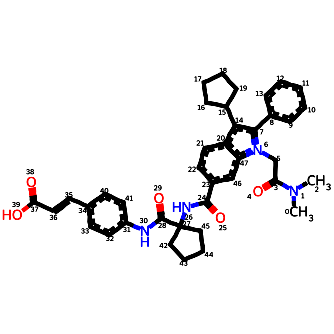 CN(C)C(=O)Cn1c(-c2ccccc2)c(C2CCCC2)c2ccc(C(=O)NC3(C(=O)Nc4ccc(C=CC(=O)O)cc4)CCCC3)cc21